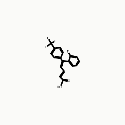 O=C(O)/C=C/C=C(/c1ccc(C(F)(F)F)cc1)c1ccccc1F